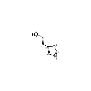 CC=Cc1cnco1